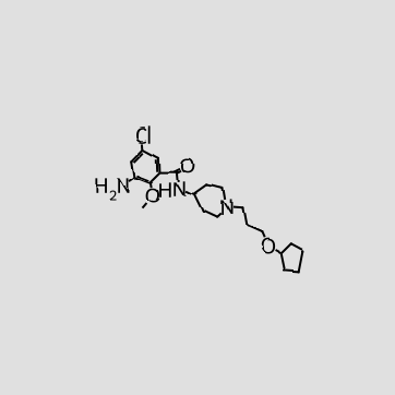 COc1c(N)cc(Cl)cc1C(=O)NC1CCN(CCCOC2CCCC2)CC1